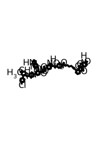 CC1(C)CCC(CN2CCN(c3ccc(C(=O)NS(=O)(=O)c4ccc(NCC5CCN(C(=O)CCCCC#Cc6cccc7c6C(=O)N(C6CCC(=O)NC6=O)C7=O)CC5)c([N+](=O)[O-])c4)c(Oc4cnc5[nH]ccc5c4)c3)CC2)=C(c2ccc(Cl)cc2)C1